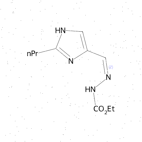 CCCc1nc(/C=N\NC(=O)OCC)c[nH]1